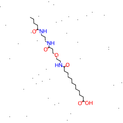 CCCCC(=O)NCCCNC(=O)CCOCCNC(=O)CCCCCCCCCCC(=O)O